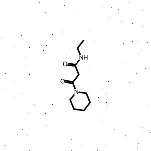 CCNC(=O)CC(=O)N1CCCCC1